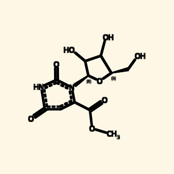 COC(=O)c1cc(=O)[nH]c(=O)n1[C@@H]1O[C@H](CO)C(O)C1O